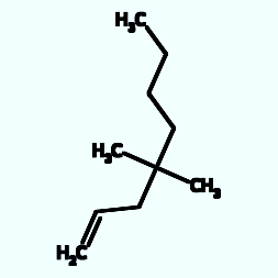 C=CCC(C)(C)CCCC